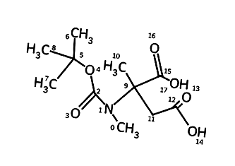 CN(C(=O)OC(C)(C)C)C(C)(CC(=O)O)C(=O)O